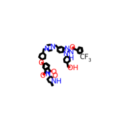 C=C1CCC(N2C(=O)c3ccc(OC4CCC(CN5CCN(Cc6ccc7c(c6)nc(NC(=O)c6cccc(C(F)(F)F)c6)n7C6CCC(CO)CC6)CC5)CC4)cc3C2=O)C(=O)N1